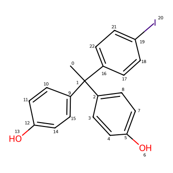 CC(c1ccc(O)cc1)(c1ccc(O)cc1)c1ccc(I)cc1